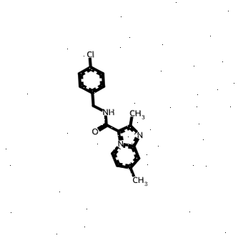 Cc1ccn2c(C(=O)NCc3ccc(Cl)cc3)c(C)nc2c1